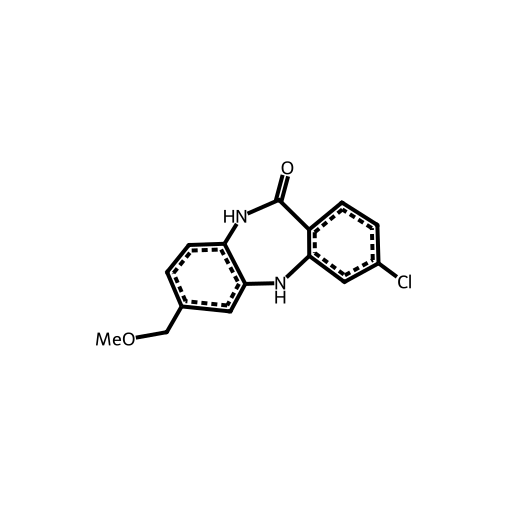 COCc1ccc2c(c1)Nc1cc(Cl)ccc1C(=O)N2